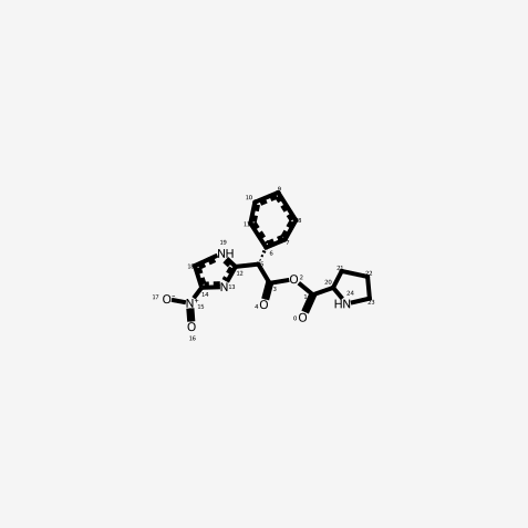 O=C(OC(=O)[C@@H](c1ccccc1)c1nc([N+](=O)[O-])c[nH]1)C1CCCN1